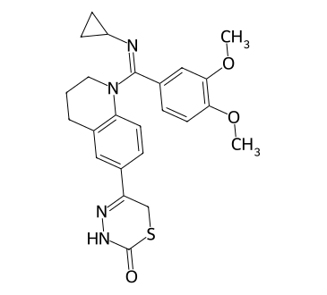 COc1ccc(/C(=N/C2CC2)N2CCCc3cc(C4=NNC(=O)SC4)ccc32)cc1OC